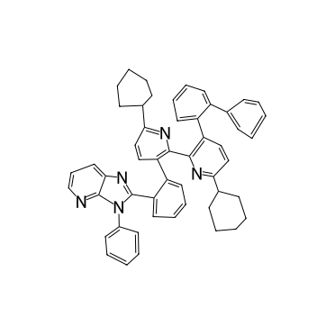 c1ccc(-c2ccccc2-c2ccc(C3CCCCC3)nc2-c2nc(C3CCCCC3)ccc2-c2ccccc2-c2nc3cccnc3n2-c2ccccc2)cc1